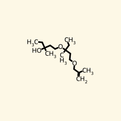 C=C(C)COCCC(C)(CC)OCCC(C)(O)CC